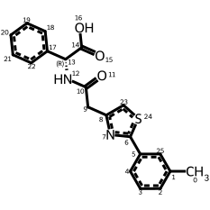 Cc1cccc(-c2nc(CC(=O)N[C@@H](C(=O)O)c3ccccc3)cs2)c1